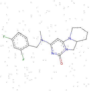 CN(Cc1ccc(F)cc1F)c1cc2n(c(=O)n1)CC1CCCCN21